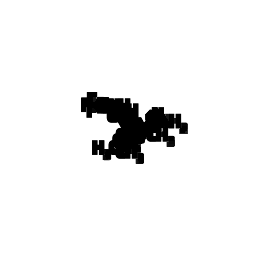 Cn1c2c(c(Cc3cccc(NC(=O)Nc4ccc(C(F)(F)F)cc4)c3)c1-c1ccnc(N)n1)C(=O)N(C(=O)OC(C)(C)C)CC2